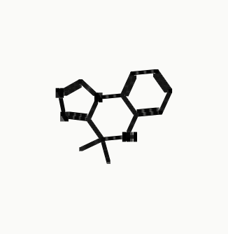 CC1(C)Nc2ccccc2-n2cnnc21